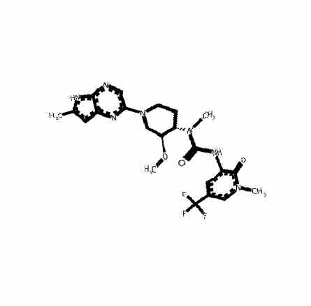 CO[C@H]1CN(c2cnc3[nH]c(C)cc3n2)CC[C@@H]1N(C)C(=O)Nc1cc(C(F)(F)F)cn(C)c1=O